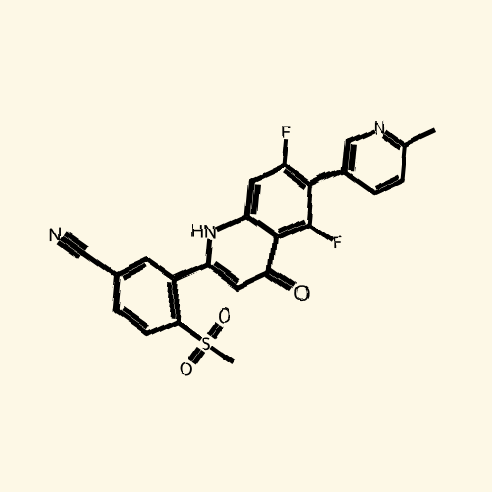 Cc1ccc(-c2c(F)cc3[nH]c(-c4cc(C#N)ccc4S(C)(=O)=O)cc(=O)c3c2F)cn1